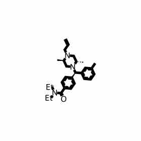 C=CCN1C[C@H](C)N([C@H](c2ccc(C(=O)N(CC)CC)cc2)c2cccc(C)c2)C[C@H]1C